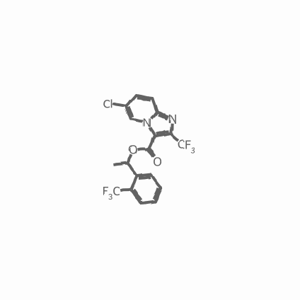 CC(OC(=O)c1c(C(F)(F)F)nc2ccc(Cl)cn12)c1ccccc1C(F)(F)F